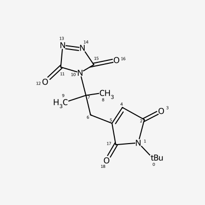 CC(C)(C)N1C(=O)C=C(CC(C)(C)N2C(=O)N=NC2=O)C1=O